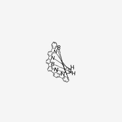 c1cc2c3ccc4c5ccc6c7c5n5c4c3n3c2c2c1-c1ccc4c8ccc9c%10ccc-6c6c%10n%10c9c8n8c4c1B2C1C3C5[C@@H](B76)[C@@H]%10C18